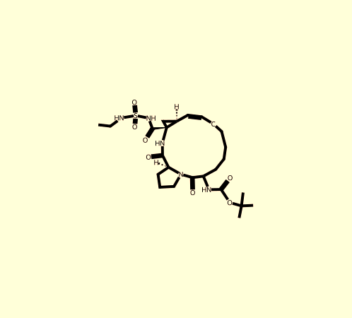 CCNS(=O)(=O)NC(=O)[C@@]12C[C@H]1/C=C\CCCCCC(NC(=O)OC(C)(C)C)C(=O)N1CCC[C@H]1C(=O)N2